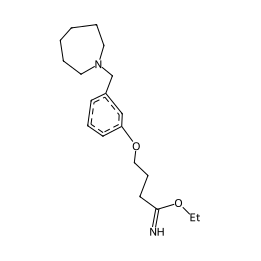 CCOC(=N)CCCOc1cccc(CN2CCCCCC2)c1